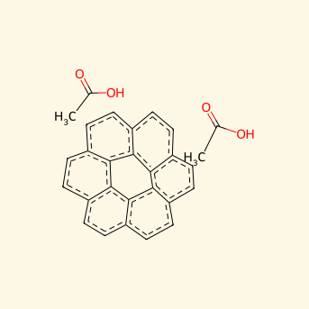 CC(=O)O.CC(=O)O.c1cc2ccc3ccc4ccc5ccc6ccc1c1c2c3c4c5c61